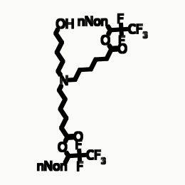 CCCCCCCCCC(OC(=O)CCCCCN(CCCCCO)CCCCCC(=O)OC(CCCCCCCCC)C(F)(F)C(F)(F)F)C(F)(F)C(F)(F)F